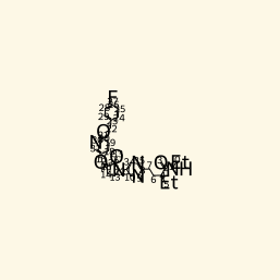 CCNC(=O)C(CC)CCc1ncc(N2CC[C@@H](Oc3ccc(OCc4ccc(F)cc4)nc3)C2=O)cn1